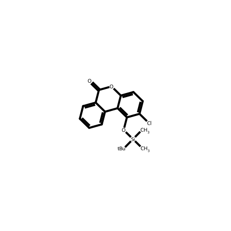 CC(C)(C)[Si](C)(C)Oc1c(Cl)ccc2oc(=O)c3ccccc3c12